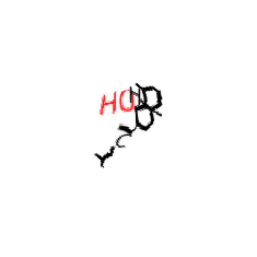 CC(C)=CCCC(C)[C@@H]1CC[C@@]2(C)C=CC=C(C)[C@H]2[C@@H]1O